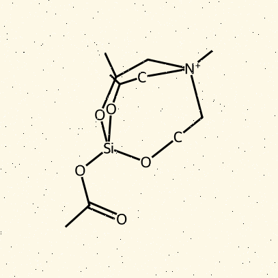 CC(=O)O[Si]12OCC[N+](C)(CC(C)O1)CC(C)O2